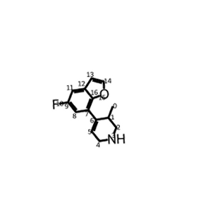 CC1CNCC=C1c1cc(F)cc2ccoc12